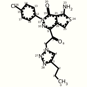 CCCc1cn(CC(=O)c2nn(-c3ccc(Cl)cc3)c(=O)c3c(N)scc23)nn1